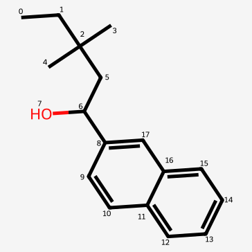 CCC(C)(C)CC(O)c1ccc2ccccc2c1